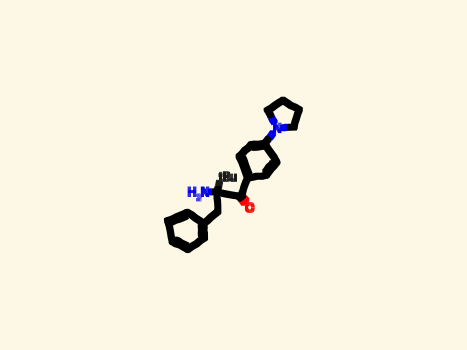 CC(C)(C)C(N)(Cc1ccccc1)C(=O)c1ccc(N2CCCC2)cc1